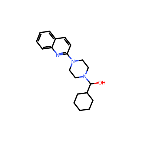 OC(C1CCCCC1)N1CCN(c2ccc3ccccc3n2)CC1